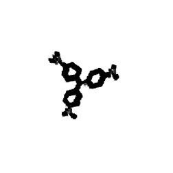 CN(C)C1=CC[C@@H](C(C2=CC[C@H](N(C)C)C=C2)c2ccc(N(C)C)cc2)CC1